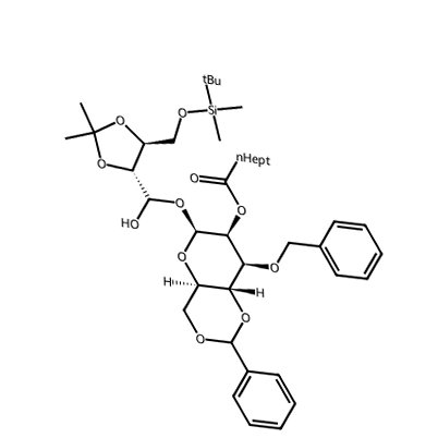 CCCCCCCC(=O)O[C@@H]1[C@H](OC(O)[C@@H]2OC(C)(C)O[C@H]2CO[Si](C)(C)C(C)(C)C)O[C@@H]2COC(c3ccccc3)O[C@H]2[C@@H]1OCc1ccccc1